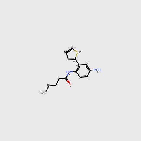 Nc1ccc(NC(=O)CCCC(=O)O)c(-c2cccs2)c1